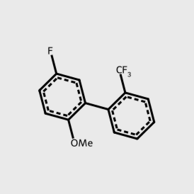 COc1ccc(F)cc1-c1ccccc1C(F)(F)F